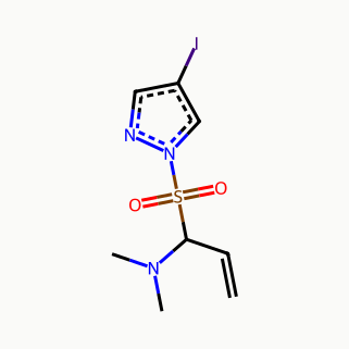 C=CC(N(C)C)S(=O)(=O)n1cc(I)cn1